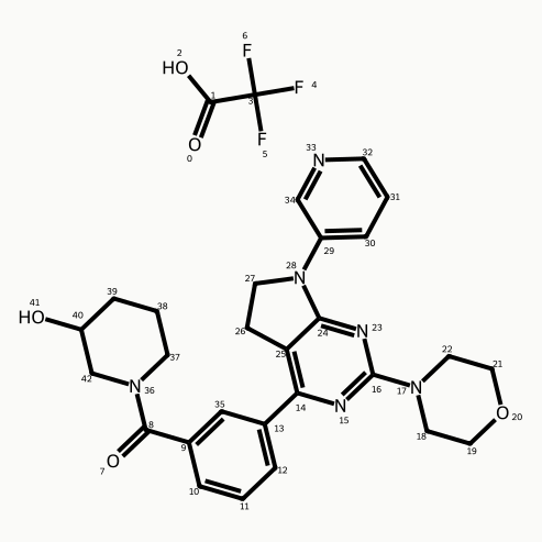 O=C(O)C(F)(F)F.O=C(c1cccc(-c2nc(N3CCOCC3)nc3c2CCN3c2cccnc2)c1)N1CCCC(O)C1